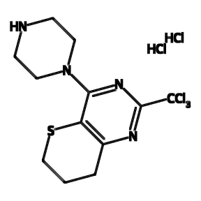 Cl.Cl.ClC(Cl)(Cl)c1nc2c(c(N3CCNCC3)n1)SCCC2